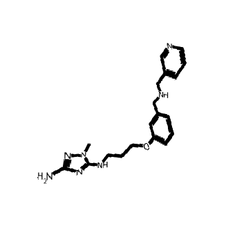 Cn1nc(N)nc1NCCCOc1cccc(CNCc2cccnc2)c1